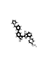 CN1CCN(c2cncc3[nH]c(-c4n[nH]c5ccc(-c6cccc(CN7CCCC7)c6)cc45)nc23)CC1